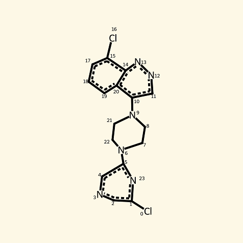 Clc1cncc(N2CCN(c3cnnc4c(Cl)cccc34)CC2)n1